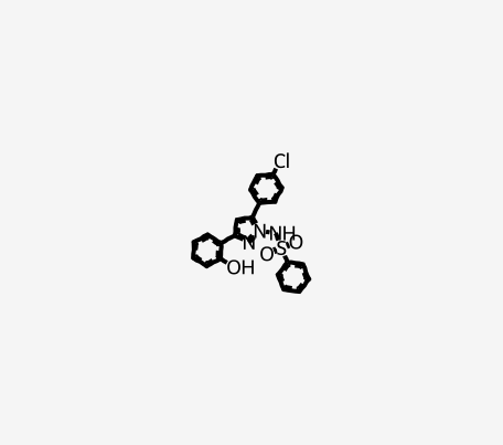 O=S(=O)(Nn1nc(-c2ccccc2O)cc1-c1ccc(Cl)cc1)c1ccccc1